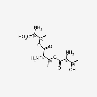 C[C@@H](O)[C@H](N)C(=O)O[C@H](C)[C@H](N)C(=O)O[C@H](C)[C@H](N)C(=O)O